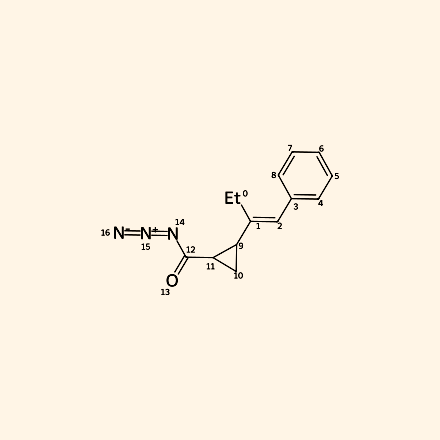 CC/C(=C\c1ccccc1)C1CC1C(=O)N=[N+]=[N-]